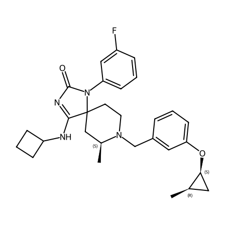 C[C@@H]1C[C@@H]1Oc1cccc(CN2CCC3(C[C@@H]2C)C(NC2CCC2)=NC(=O)N3c2cccc(F)c2)c1